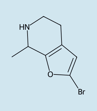 CC1NCCc2cc(Br)oc21